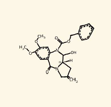 C=C1C[C@H]2C(O)N(C(=O)OCc3ccccc3)c3cc(OC)c(OC)cc3C(=O)N2C1